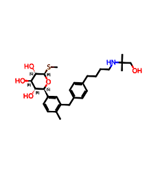 CS[C@H]1O[C@@H](c2ccc(C)c(Cc3ccc(CCCCNC(C)(C)CO)cc3)c2)[C@H](O)[C@@H](O)[C@@H]1O